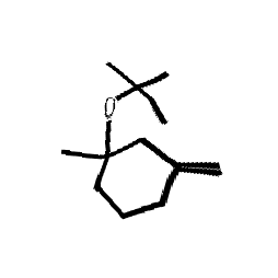 C=C1CCCC(C)(OC(C)(C)C)C1